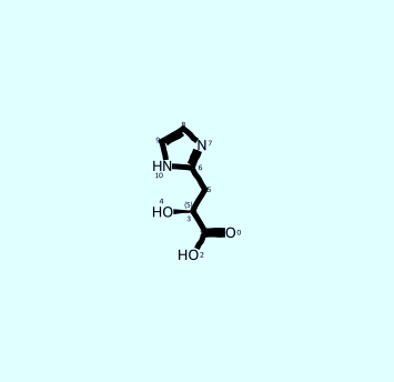 O=C(O)[C@@H](O)Cc1ncc[nH]1